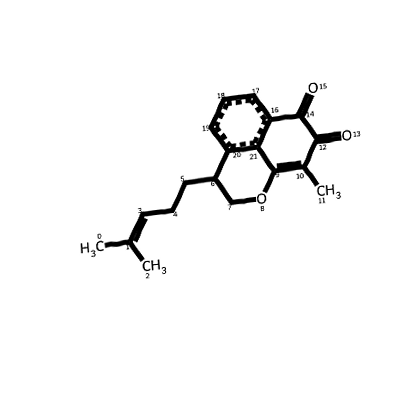 CC(C)=CCCC1COC2=C(C)C(=O)C(=O)c3cccc1c32